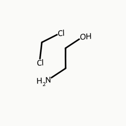 ClCCl.NCCO